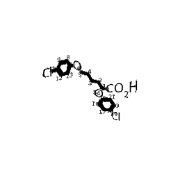 O=C(O)C(CCCCOc1ccc(Cl)cc1)Oc1ccc(Cl)cc1